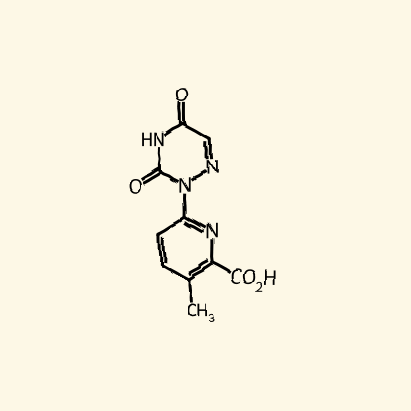 Cc1ccc(-n2ncc(=O)[nH]c2=O)nc1C(=O)O